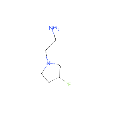 NCCN1CC[C@@H](F)C1